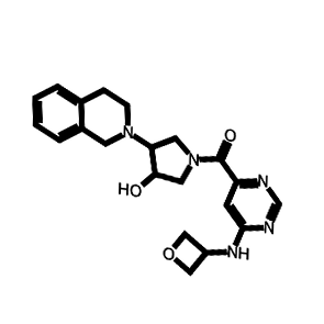 O=C(c1cc(NC2COC2)ncn1)N1CC(O)C(N2CCc3ccccc3C2)C1